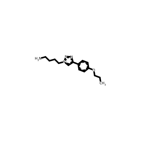 CCCOc1ccc(-c2cn(CCCCN)nn2)cc1